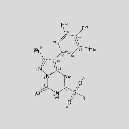 CC(C)c1nn2c(=O)[nH]c(S(C)(=O)=O)nc2c1-c1cc(F)c(F)c(F)c1